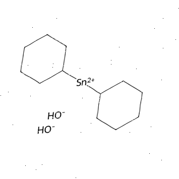 C1CC[CH]([Sn+2][CH]2CCCCC2)CC1.[OH-].[OH-]